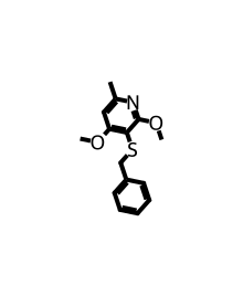 COc1cc(C)nc(OC)c1SCc1ccccc1